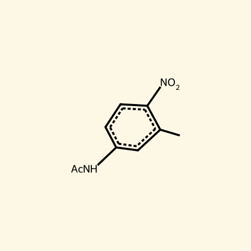 CC(=O)Nc1ccc([N+](=O)[O-])c(C)c1